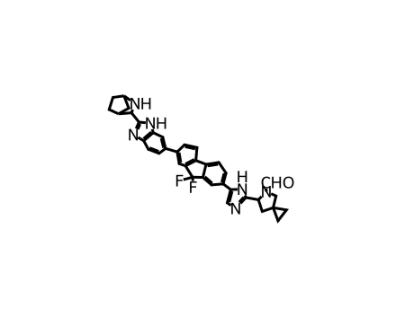 O=CN1CC2(CC2)CC1c1ncc(-c2ccc3c(c2)C(F)(F)c2cc(-c4ccc5nc(C6NC7CCC6C7)[nH]c5c4)ccc2-3)[nH]1